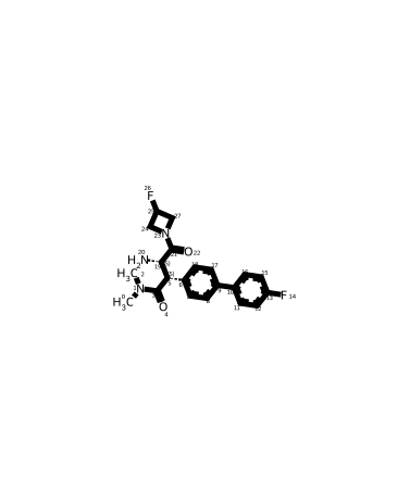 CN(C)C(=O)[C@@H](c1ccc(-c2ccc(F)cc2)cc1)[C@H](N)C(=O)N1CC(F)C1